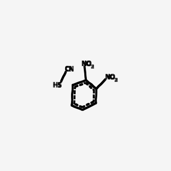 N#CS.O=[N+]([O-])c1ccccc1[N+](=O)[O-]